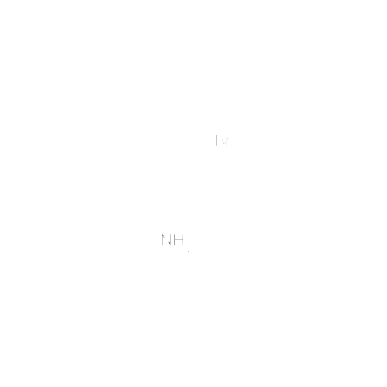 NC1CCCCC1c1ccccc1Br